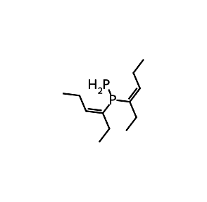 CC/C=C(/CC)P(P)/C(=C\CC)CC